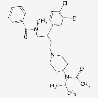 CC(=O)N(C(C)C)C1CCN(CCC(CN(C)C(=O)c2ccccc2)c2ccc(Cl)c(Cl)c2)CC1